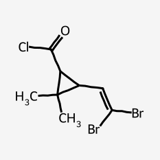 CC1(C)C(C=C(Br)Br)C1C(=O)Cl